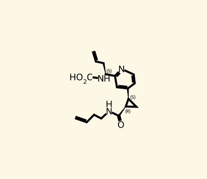 C=CCCNC(=O)[C@@H]1C[C@@H]1c1ccnc([C@H](CC=C)NC(=O)O)c1